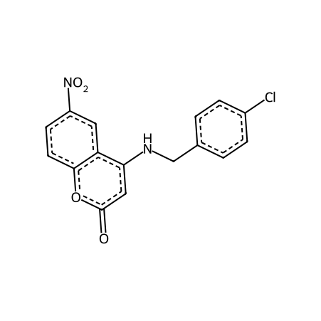 O=c1cc(NCc2ccc(Cl)cc2)c2cc([N+](=O)[O-])ccc2o1